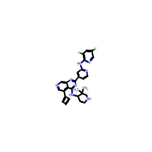 CC1(C)CNCCC1Nc1nc(-c2ccnc(Nc3ncc(F)cc3F)c2)nc2cncc(C3=CC=C3)c12